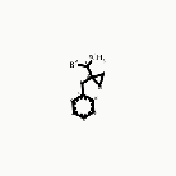 CC(Br)C1(Cc2ccccc2)CC1